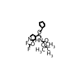 CC(C)(C)OC(=O)NC[C@H](OCc1ccccc1)c1ccnc(OC(F)F)c1